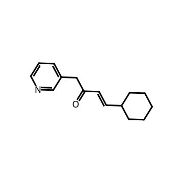 O=C(C=CC1CCCCC1)Cc1cccnc1